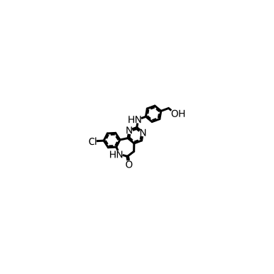 O=C1Cc2cnc(Nc3ccc(CO)cc3)nc2-c2ccc(Cl)cc2N1